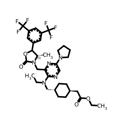 CCOC(=O)C[C@H]1CC[C@H](CN(CC)c2ncc(N3CCCC3)nc2CN2C(=O)OC(c3cc(C(F)(F)F)cc(C(F)(F)F)c3)[C@@H]2C)CC1